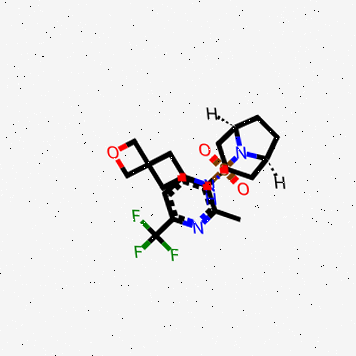 Cc1nc(C(F)(F)F)ccc1S(=O)(=O)N1[C@@H]2CC[C@H]1C[C@H](NC1CC3(COC3)C1)C2